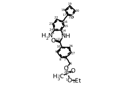 CCOP(C)(=O)OCc1ccc(C(=O)Nc2cc(-c3cccs3)ccc2N)cc1